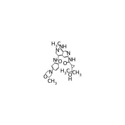 CNc1ncc(-c2nc3cc(N4CCO[C@@H](C)C4)ccc3o2)c2cc(NC(=O)C3CC3C(C)(C)O)ncc12